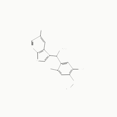 CCCCOc1cc(F)c(C(OC)c2c[nH]c3ncc(Cl)cc23)cc1OC